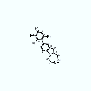 Fc1cc(F)c(-c2ccc3c(c2)CC2CCNCCN32)c(F)c1F